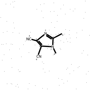 Cc1nc(C#N)c(C#N)n1C